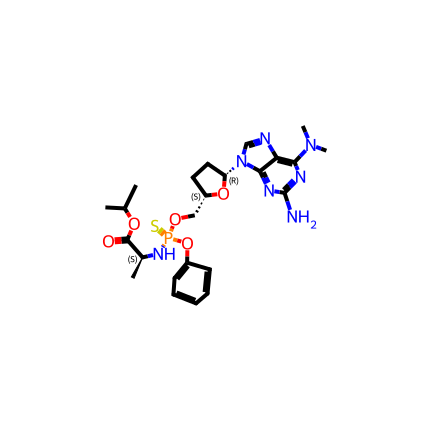 CC(C)OC(=O)[C@H](C)NP(=S)(OC[C@@H]1CC[C@H](n2cnc3c(N(C)C)nc(N)nc32)O1)Oc1ccccc1